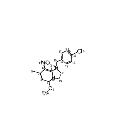 CCOC1CC(C)C([N+](=O)[O-])=C2N(Cc3ccc(Cl)nc3)CCN21